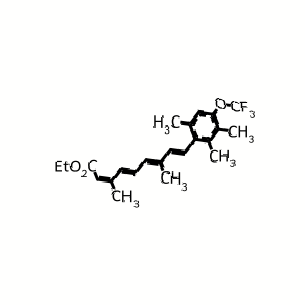 CCOC(=O)\C=C(C)/C=C/C=C(C)/C=C/c1c(C)cc(OC(F)(F)F)c(C)c1C